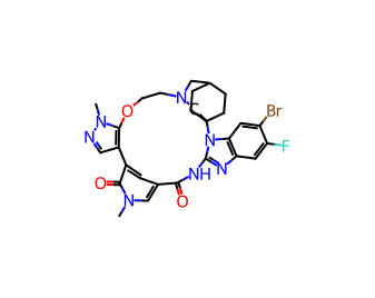 Cn1ncc2c1OCCN1CC3CCC(CC3)(C1)n1c(nc3cc(F)c(Br)cc31)NC(=O)c1cc-2c(=O)n(C)c1